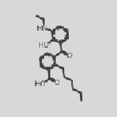 CCCCCCc1c(C(=O)O)cccc1C(=O)c1cccc(NCC)c1O